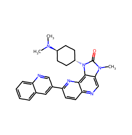 Cn1c(=O)n([C@H]2CC[C@H](N(C)C)CC2)c2c3nc(-c4cnc5ccccc5c4)ccc3ncc21